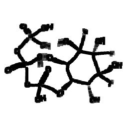 O=P(O)(O)OP(=O)(O)OP(=O)(O)O[C@H]1[C@@H](O)[C@](O)(F)[C@@](O)(F)[C@](O)(F)[C@@H]1O